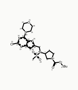 CC(C)(C)OC(=O)N1CCC(N(Cc2cc3nc(Cl)nc(N4CCOCC4)c3s2)S(C)(=O)=O)C1